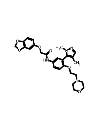 Cc1cnn(C)c1-c1cc(NC(=O)COc2ccc3c(c2)OCO3)ccc1OCCN1CCOCC1